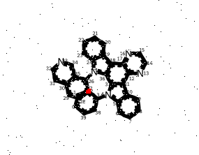 c1ccc(-n2c3ccccc3c3c4nccnc4c4c5ccccc5n(-c5cccc6ccncc56)c4c32)cc1